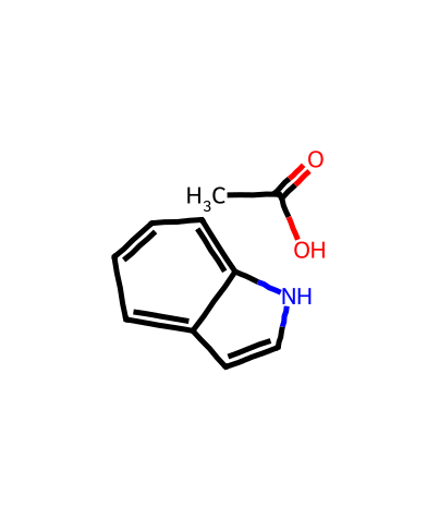 CC(=O)O.c1ccc2[nH]ccc2c1